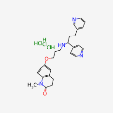 CN1C(=O)CCc2cc(OCCCNC(CCc3cccnc3)c3ccncc3)ccc21.Cl.Cl.Cl